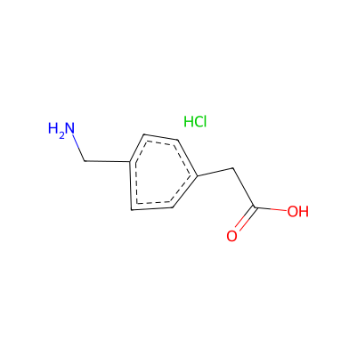 Cl.NCc1ccc(CC(=O)O)cc1